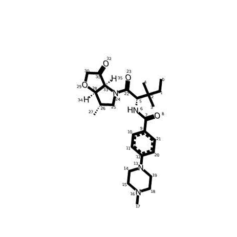 CCC(C)(C)[C@H](NC(=O)c1ccc(N2CCN(C)CC2)cc1)C(=O)N1C[C@H](C)[C@H]2OCC(=O)[C@H]21